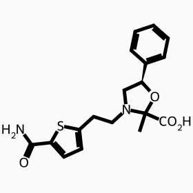 CC1(C(=O)O)O[C@H](c2ccccc2)CN1CCc1ccc(C(N)=O)s1